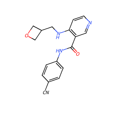 N#Cc1ccc(NC(=O)c2cnccc2NCC2COC2)cc1